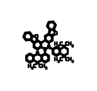 CC1(C)CCC(C)(C)c2cc(N3B4c5cccc6c5N(c5ccccc5C6(C)C)c5cc6c(oc7ccccc76)c(c54)-c4cc5c(cc43)oc3ccccc35)ccc21